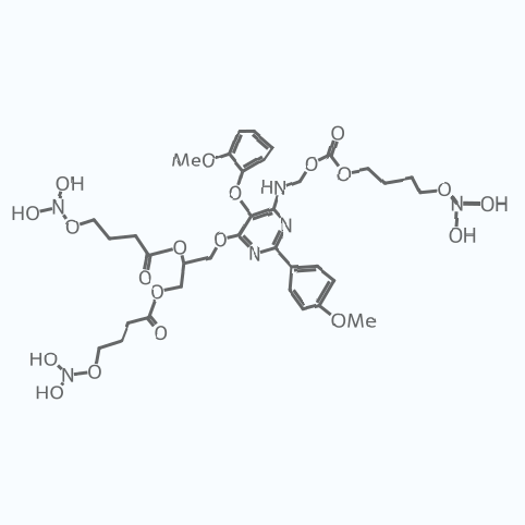 COc1ccc(-c2nc(NCOC(=O)OCCCCON(O)O)c(Oc3ccccc3OC)c(OCC(COC(=O)CCCON(O)O)OC(=O)CCCON(O)O)n2)cc1